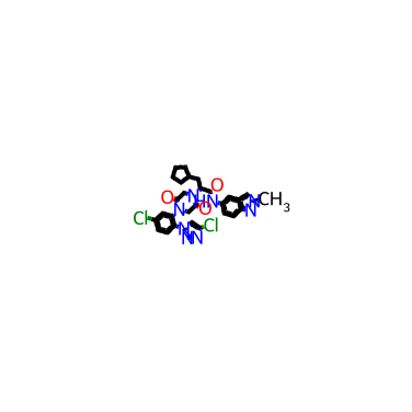 Cn1cc2cc(NC(=O)C(CC3CCCC3)N3CC(=O)N(c4cc(Cl)ccc4-n4cc(Cl)nn4)CC3=O)ccc2n1